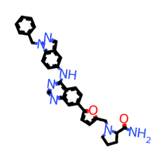 NC(=O)C1CCCN1Cc1ccc(-c2ccc3c(Nc4ccc5c(cnn5Cc5ccccc5)c4)ncnc3c2)o1